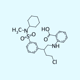 CN(C1CCCCC1)S(=O)(=O)c1cccc(C(CCCl)CNc2ccccc2C(=O)O)c1